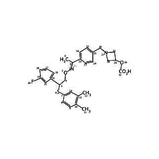 C/C(=N\OCC(Sc1ccc(C)c(C)c1)c1cccc(F)c1)c1ccc(CN2CC(OC(=O)O)C2)cc1